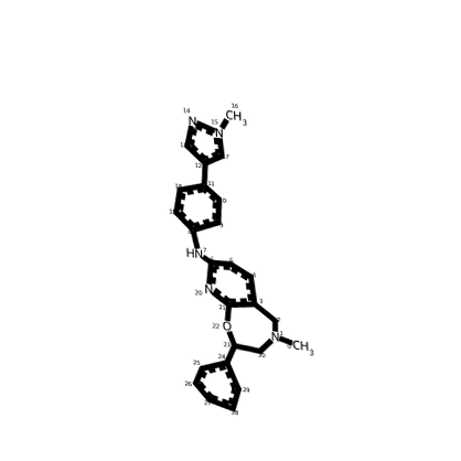 CN1Cc2ccc(Nc3ccc(-c4cnn(C)c4)cc3)nc2OC(c2ccccc2)C1